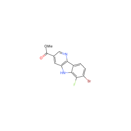 COC(=O)c1cnc2c(c1)[nH]c1c(F)c(Br)ccc12